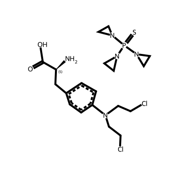 N[C@@H](Cc1ccc(N(CCCl)CCCl)cc1)C(=O)O.S=P(N1CC1)(N1CC1)N1CC1